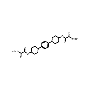 CCCCCCCC(F)C(=O)OC1CCC(c2ccc(C3CCC(OC(=O)C(F)CCCCCCC)CC3)cc2)CC1